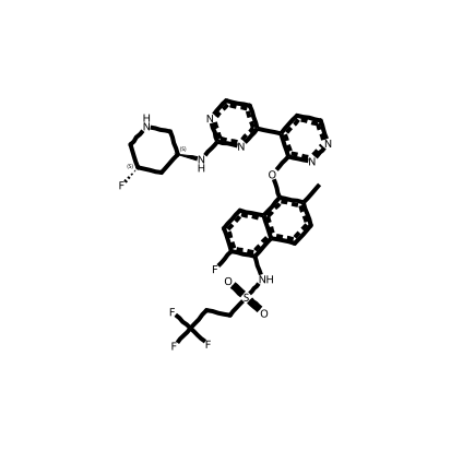 Cc1ccc2c(NS(=O)(=O)CCC(F)(F)F)c(F)ccc2c1Oc1nnccc1-c1ccnc(N[C@@H]2CNC[C@@H](F)C2)n1